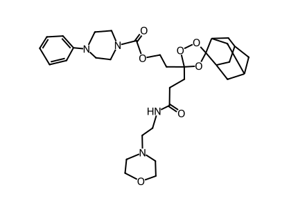 O=C(CCC1(CCOC(=O)N2CCN(c3ccccc3)CC2)OOC2(O1)C1CC3CC(C1)CC2C3)NCCN1CCOCC1